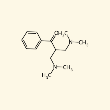 CN(C)CC(CN(C)C)C(=O)c1ccccc1